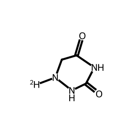 [2H]N1CC(=O)NC(=O)N1